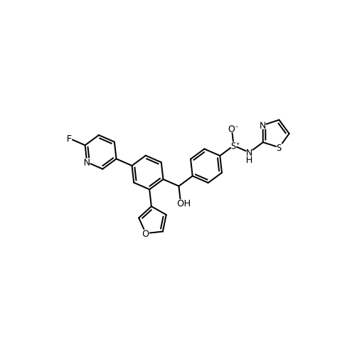 [O-][S+](Nc1nccs1)c1ccc(C(O)c2ccc(-c3ccc(F)nc3)cc2-c2ccoc2)cc1